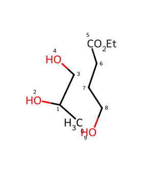 CC(O)CO.CCOC(=O)CCCO